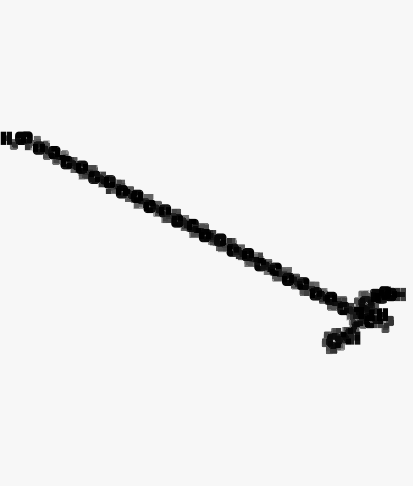 COCCOCCOCCOCCOCCOCCOCCOCCOCCOCCOCCOCCOCCOCCOCCOCCOCCOCCOCCOCCOCCOCCOCCOCC[N+]1=C(/C=C/C=C/Nc2ccccc2)C(C)(C)c2cc(SOOO)ccc21